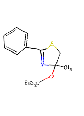 CCOC(=O)OC1(C)CSC(c2ccccc2)=N1